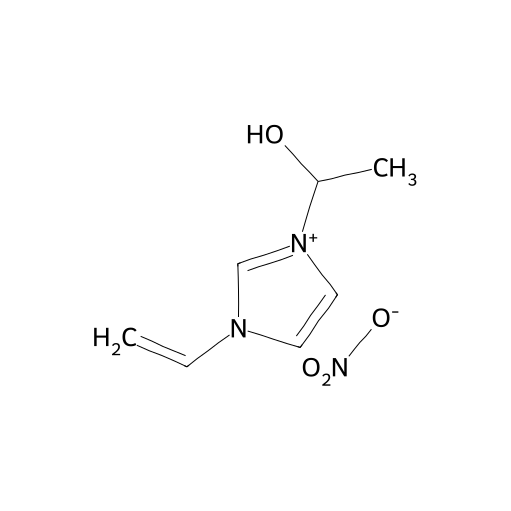 C=Cn1cc[n+](C(C)O)c1.O=[N+]([O-])[O-]